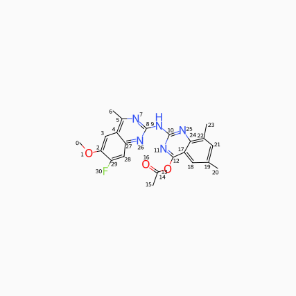 COc1cc2c(C)nc(Nc3nc(OC(C)=O)c4cc(C)cc(C)c4n3)nc2cc1F